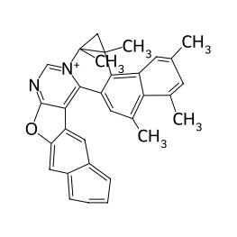 Cc1cc(C)c2c(C)cc3c(c2c1)C1(C)CC1(C)[n+]1cnc2oc4cc5ccccc5cc4c2c1-3